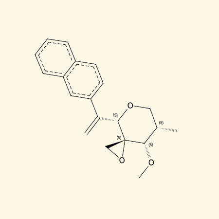 C=C(c1ccc2ccccc2c1)[C@@H]1OC[C@H](C)[C@H](OC)[C@@]12CO2